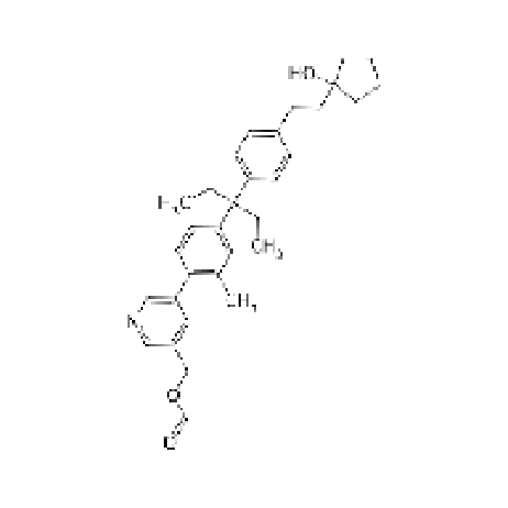 CCC(CC)(c1ccc(CCC2(O)CCCC2)cc1)c1ccc(-c2cncc(COC=O)c2)c(C)c1